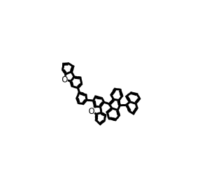 c1cc(-c2ccc3c(c2)oc2ccccc23)cc(-c2ccc(-c3c4ccccc4c(-c4cccc5ccccc45)c4ccccc34)c3c2oc2ccccc23)c1